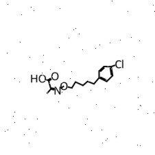 CC(=NOCCCCCc1ccc(Cl)cc1)C(=O)O